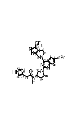 CCCc1cc2c(N3CCn4c(nnc4C(F)(F)F)C3)nc(N3CC[C@H](NC(=O)Cc4c[nH]cn4)C3)nc2s1